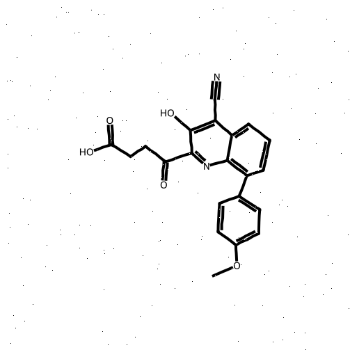 COc1ccc(-c2cccc3c(C#N)c(O)c(C(=O)CCC(=O)O)nc23)cc1